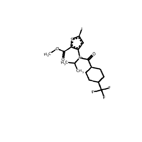 COC(=O)c1sc(I)cc1N(C(=O)C1CCC(C(F)(F)F)CC1)C(C)C